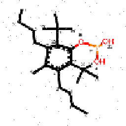 CCCCc1c(C)c(CCCC)c(C(C)(C)C)c(OP(O)O)c1C(C)(C)C